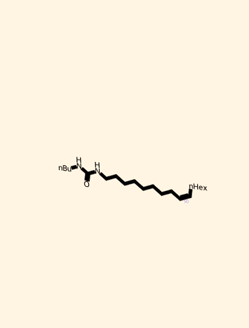 CCCCCC/C=C\CCCCCCCCNC(=O)NCCCC